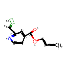 C=CCOC(=O)c1ccnc(CCl)c1